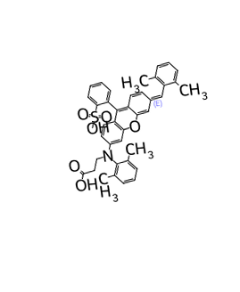 Cc1cccc(C)c1/C=c1\ccc2c(c1)Oc1cc(N(CCC(=O)O)c3c(C)cccc3C)ccc1C=2c1ccccc1S(=O)(=O)O